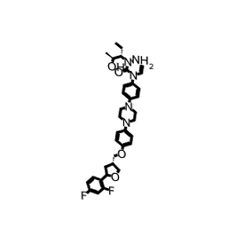 C=CN(C(=O)N(N)[C@@H](CC)[C@H](C)O)c1ccc(N2CCN(c3ccc(OC[C@@H]4COC(c5ccc(F)cc5F)C4)cc3)CC2)cc1